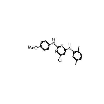 COc1ccc(Nc2nc(Cl)cc(Nc3cc(C)ccc3C)n2)cc1